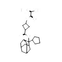 C=C(C)C(=O)OC1CC(C(=O)OC2(C3CCCC3)C3CC4CC(C3)CC2C4)C1